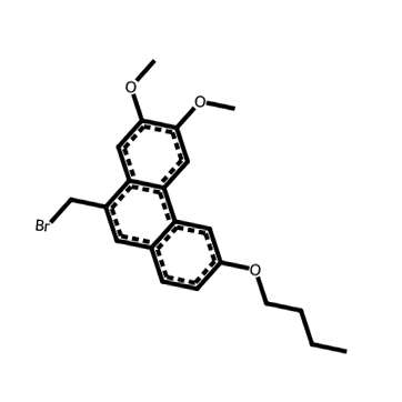 CCCCOc1ccc2cc(CBr)c3cc(OC)c(OC)cc3c2c1